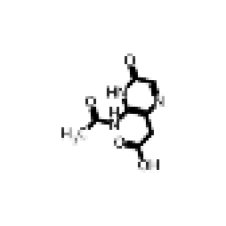 CC(=O)Nc1[nH]c(=O)cnc1CC(=O)O